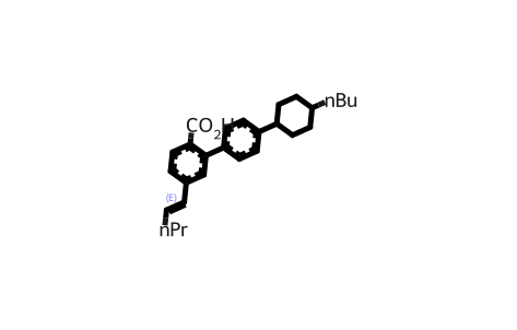 CCC/C=C/c1ccc(C(=O)O)c(-c2ccc(C3CCC(CCCC)CC3)cc2)c1